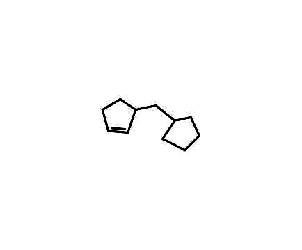 C1=CC(CC2CCCC2)CC1